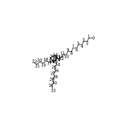 CCCCCCCCCCCCC[n+]1ccn(CCCCCC)c1CCCCCCCCC